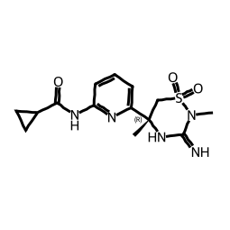 CN1C(=N)N[C@](C)(c2cccc(NC(=O)C3CC3)n2)CS1(=O)=O